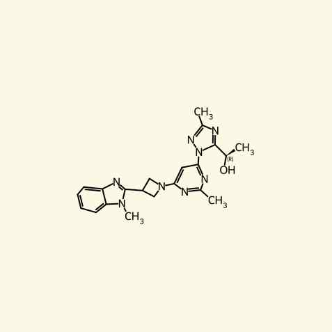 Cc1nc(N2CC(c3nc4ccccc4n3C)C2)cc(-n2nc(C)nc2[C@@H](C)O)n1